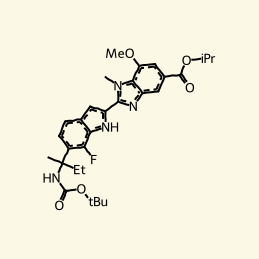 CCC(C)(NC(=O)OC(C)(C)C)c1ccc2cc(-c3nc4cc(C(=O)OC(C)C)cc(OC)c4n3C)[nH]c2c1F